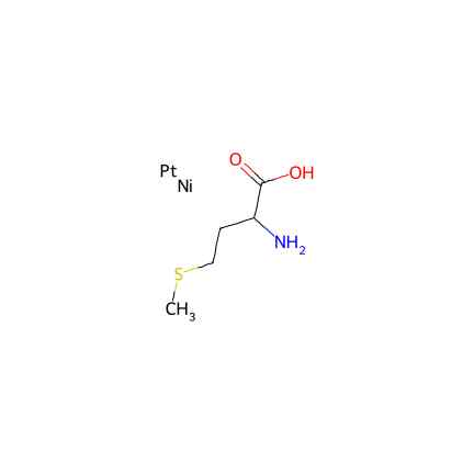 CSCCC(N)C(=O)O.[Ni].[Pt]